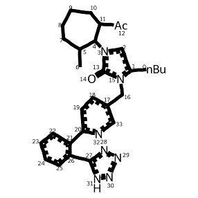 CCCCc1cn(C2C(C)CCCCC2C(C)=O)c(=O)n1Cc1ccc(-c2ccccc2-c2nnn[nH]2)nc1